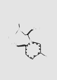 CN(C)C(=N)n1cc(F)ccc1=N